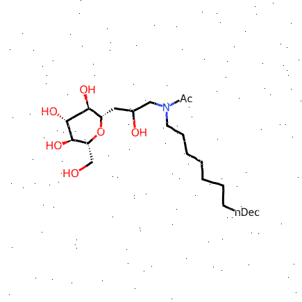 CCCCCCCCCCCCCCCCCN(CC(O)C[C@@H]1O[C@H](CO)[C@@H](O)[C@H](O)[C@H]1O)C(C)=O